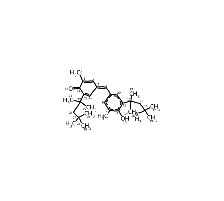 CC1=CC(=Cc2cc(C)c(O)c(C(C)(C)CC(C)(C)C)c2)C=C(C(C)(C)CC(C)(C)C)C1=O